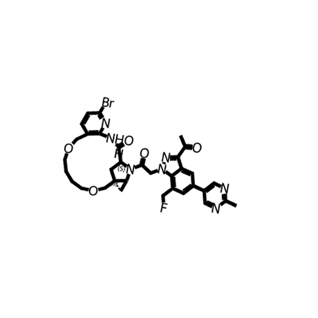 CC(=O)c1nn(CC(=O)N2C3C[C@@]34COCCCCOCc3ccc(Br)nc3NC(=O)[C@@H]2C4)c2c(CF)cc(-c3cnc(C)nc3)cc12